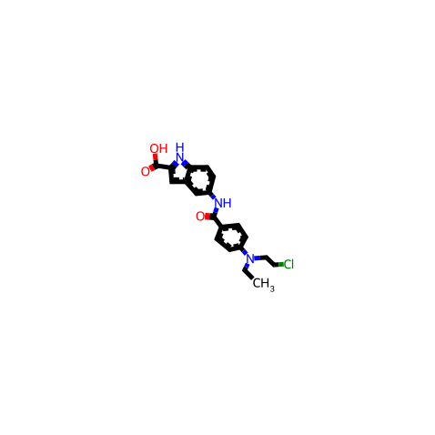 CCN(CCCl)c1ccc(C(=O)Nc2ccc3[nH]c(C(=O)O)cc3c2)cc1